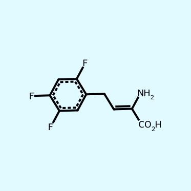 NC(=CCc1cc(F)c(F)cc1F)C(=O)O